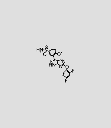 CNS(=O)(=O)c1ccc(OC)c(-c2n[nH]c3nc(Oc4ccc(F)cc4F)ncc23)c1